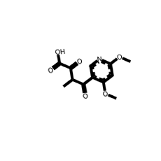 COc1cc(OC)c(C(=O)C(C)C(=O)C(=O)O)cn1